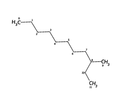 CCCCCCCCC(C)CC